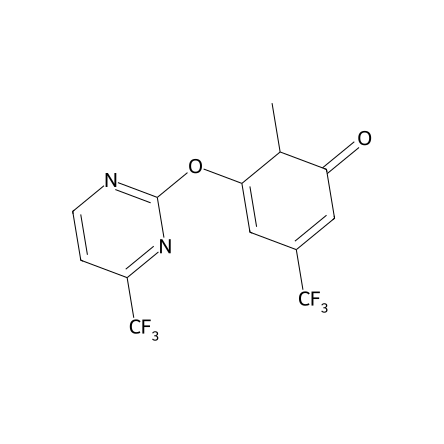 CC1C(=O)C=C(C(F)(F)F)C=C1Oc1nccc(C(F)(F)F)n1